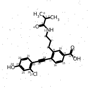 CC(C)C(=O)NCCCc1cc(C(=O)O)ccc1C#Cc1ccc(O)cc1Cl